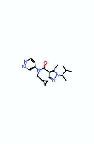 Cc1c(C(=O)N(CC2CC2)c2ccnnc2)cnn1C(C)C(C)C